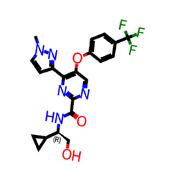 Cn1ccc(-c2nc(C(=O)N[C@@H](CO)C3CC3)ncc2Oc2ccc(C(F)(F)F)cc2)n1